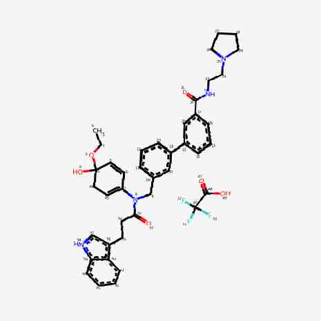 CCOC1(O)C=CC(N(Cc2cccc(-c3cccc(C(=O)NCCN4CCCC4)c3)c2)C(=O)CCc2c[nH]c3ccccc23)=CC1.O=C(O)C(F)(F)F